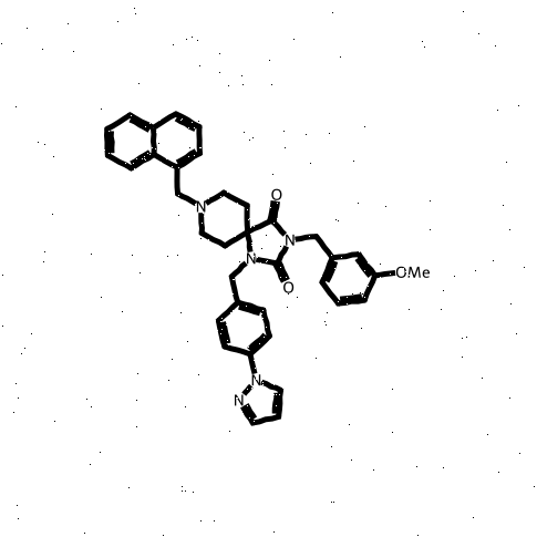 COc1cccc(CN2C(=O)N(Cc3ccc(-n4cccn4)cc3)C3(CCN(Cc4cccc5ccccc45)CC3)C2=O)c1